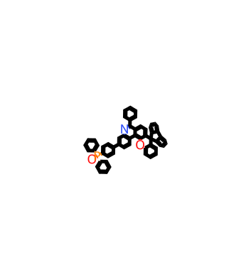 O=P(c1ccccc1)(c1ccccc1)c1ccc(-c2ccc3c(c2)nc(-c2ccccc2)c2ccc4c(c23)Oc2ccccc2C42c3ccccc3-c3ccccc32)cc1